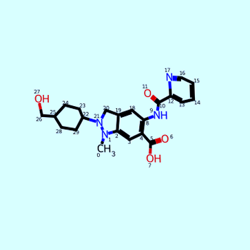 CN1c2cc(C(=O)O)c(NC(=O)c3ccccn3)cc2CN1C1CCC(CO)CC1